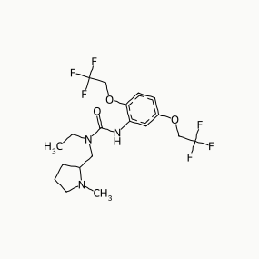 CCN(CC1CCCN1C)C(=O)Nc1cc(OCC(F)(F)F)ccc1OCC(F)(F)F